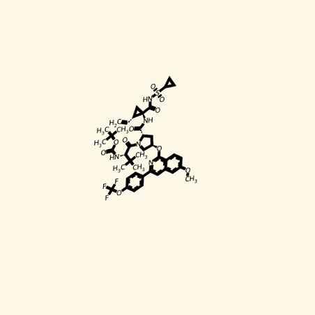 C=C[C@@H]1C[C@]1(NC(=O)[C@@H]1C[C@@H](Oc2nc(-c3ccc(OC(F)(F)F)cc3)cc3cc(OC)ccc23)CN1C(=O)[C@@H](NC(=O)OC(C)(C)C)C(C)(C)C)C(=O)NS(=O)(=O)C1CC1